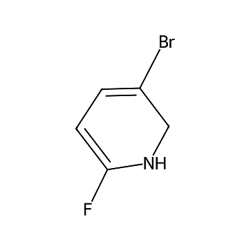 FC1=CC=C(Br)CN1